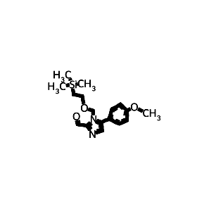 COc1ccc(-c2cnc(C=O)n2COCC[Si](C)(C)C)cc1